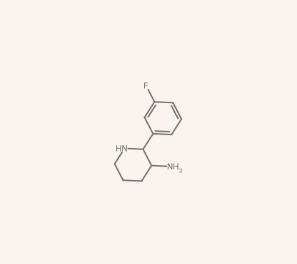 NC1CCCNC1c1cccc(F)c1